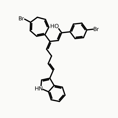 O/C(=C\C(=C/C/C=C/c1c[nH]c2ccccc12)C1=CC=C(Br)CC=C1)c1ccc(Br)cc1